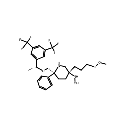 COOCCC[C@@]1(NO)CC[C@@](CO[C@H](C)c2cc(C(F)(F)F)cc(C(F)(F)F)c2)(c2ccccc2)NC1